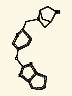 c1ccc2sc(Oc3ccc(CN4CC5CC4CN5)cc3)nc2c1